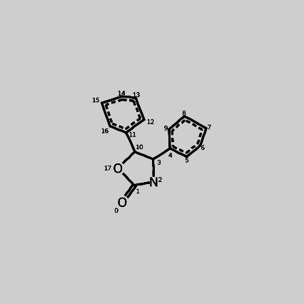 O=C1[N]C(c2ccccc2)C(c2ccccc2)O1